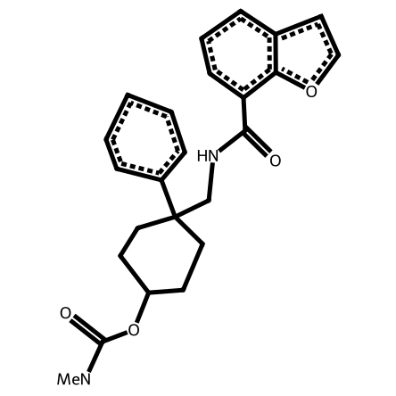 CNC(=O)OC1CCC(CNC(=O)c2cccc3ccoc23)(c2ccccc2)CC1